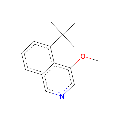 COc1cncc2cccc(C(C)(C)C)c12